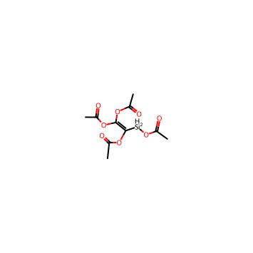 CC(=O)O[SiH2]C(OC(C)=O)=C(OC(C)=O)OC(C)=O